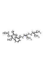 CCCCCCCCCCOc1c(O)c2cccc(OC/C=C(\C)CCC=C(C)C)c2oc1=O